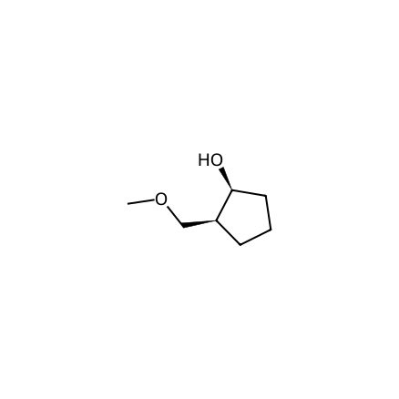 COC[C@@H]1CCC[C@@H]1O